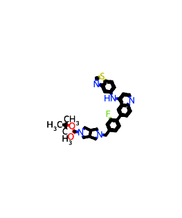 CC(C)(C)OC(=O)N1CC2CN(Cc3ccc(-c4ccc5nccc(Nc6ccc7scnc7c6)c5c4)c(F)c3)CC2C1